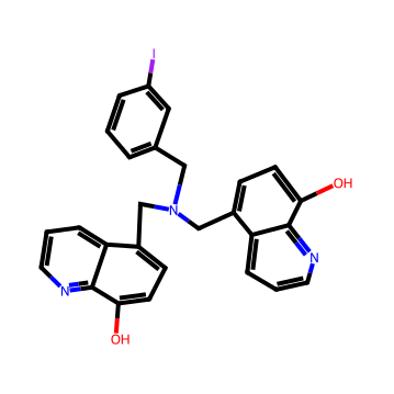 Oc1ccc(CN(Cc2cccc(I)c2)Cc2ccc(O)c3ncccc23)c2cccnc12